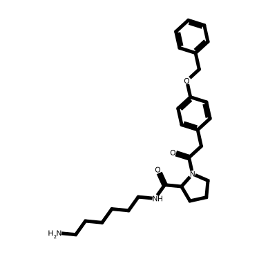 NCCCCCCNC(=O)C1CCCN1C(=O)Cc1ccc(OCc2ccccc2)cc1